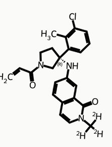 [2H]C([2H])([2H])n1ccc2ccc(N[C@@]3(c4cccc(Cl)c4C)CCN(C(=O)C=C)C3)cc2c1=O